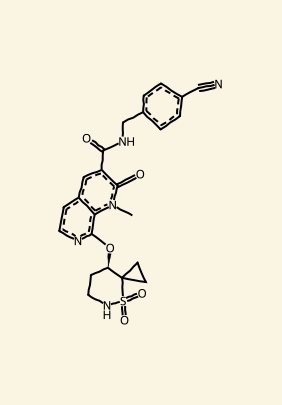 Cn1c(=O)c(C(=O)NCc2ccc(C#N)cc2)cc2ccnc(O[C@@H]3CCNS(=O)(=O)C34CC4)c21